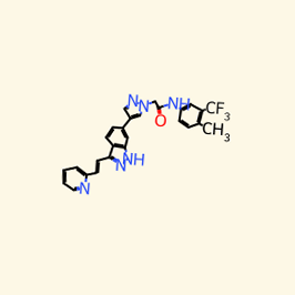 Cc1ccc(NC(=O)Cn2cc(-c3ccc4c(/C=C/c5ccccn5)n[nH]c4c3)cn2)cc1C(F)(F)F